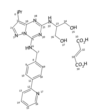 CC(C)c1cnn2c(NCc3ccc(-c4ccccn4)cc3)nc(NC(CO)CO)nc12.O=C(O)C=CC(=O)O